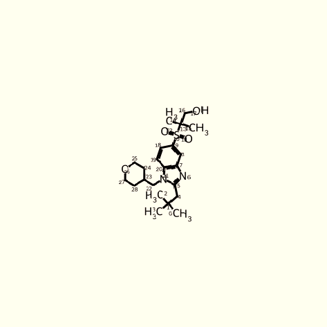 CC(C)(C)Cc1nc2cc(S(=O)(=O)C(C)(C)CO)ccc2n1CC1CCOCC1